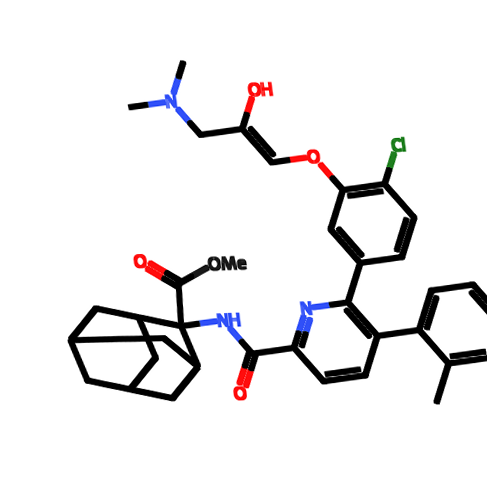 COC(=O)C1(NC(=O)c2ccc(-c3ccccc3C)c(-c3ccc(Cl)c(O/C=C(\O)CN(C)C)c3)n2)C2CC3CC(C2)CC1C3